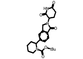 CC(C)(C)OC(=O)N1CCCCC1c1ccc2c(c1)CN(C1CCC(=O)NC1=O)C2=O